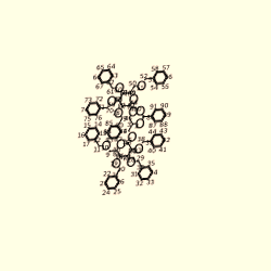 O=C(OC(CO[C@H]1O[C@H](COCc2ccccc2)[C@@H](OCc2ccccc2)[C@H](OCc2ccccc2)[C@@H]1OCc1ccccc1)CO[C@H]1O[C@H](COCc2ccccc2)[C@@H](OCc2ccccc2)[C@H](OCc2ccccc2)[C@@H]1OCc1ccccc1)c1ccccc1